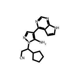 N#CCC(C1CCCC1)n1ncc(-c2ncnc3[nH]ccc23)c1N